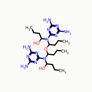 CCCC(O)N(c1nc(N)nc(N)n1)C(CCC)OC(CCC)N(c1nc(N)nc(N)n1)C(O)CCC